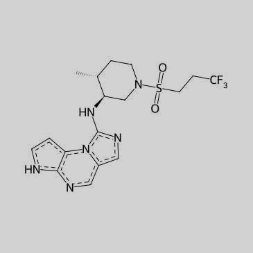 C[C@@H]1CCN(S(=O)(=O)CCC(F)(F)F)C[C@H]1Nc1ncc2cnc3[nH]ccc3n12